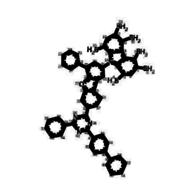 Bc1cc(B)c2c(c1B)c1c(B)c(B)cc(B)c1n2-c1cc(-c2ccccc2)c2oc3cc(-c4nc(-c5ccccc5)nc(-c5ccc(-c6ccccc6)cc5)n4)ccc3c2c1